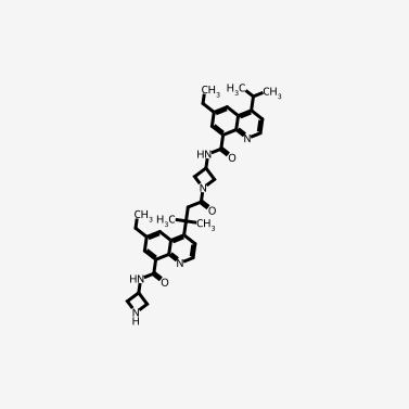 CCc1cc(C(=O)NC2CN(C(=O)CC(C)(C)c3ccnc4c(C(=O)NC5CNC5)cc(CC)cc34)C2)c2nccc(C(C)C)c2c1